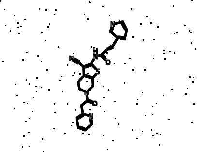 N#Cc1c(NC(=O)C=Cc2cccnc2)sc2c1CCN(C(=O)Cc1ccccn1)C2